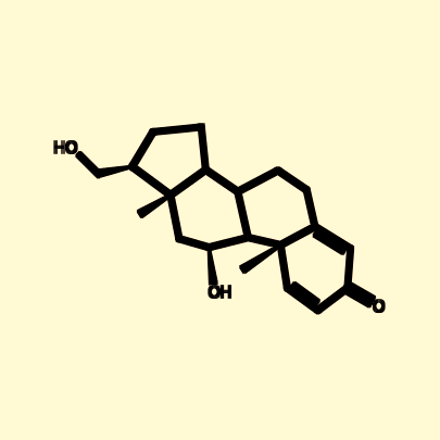 C[C@]12C=CC(=O)C=C1CCC1C2[C@@H](O)C[C@@]2(C)C1CC[C@@H]2CO